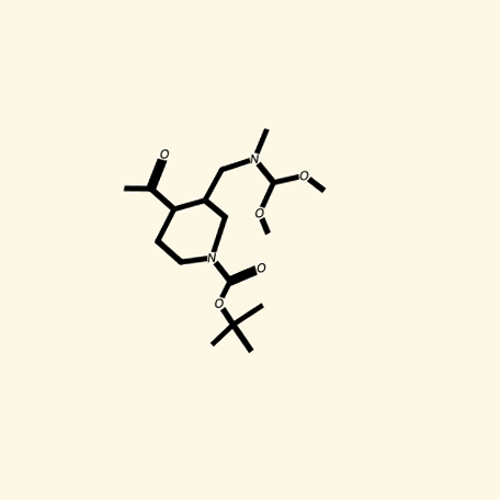 COC(OC)N(C)CC1CN(C(=O)OC(C)(C)C)CCC1C(C)=O